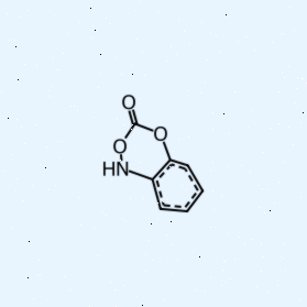 O=C1ONc2ccccc2O1